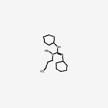 CCCCN(CCCS)/C(=N\C1CCCCC1)NC1CCCCC1